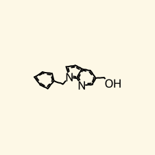 OCc1cnc2c(ccn2Cc2ccccc2)c1